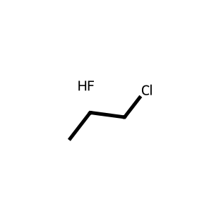 CCCCl.F